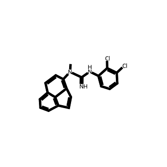 CN(C(=N)Nc1cccc(Cl)c1Cl)c1ccc2cccc3c2c1C=C3